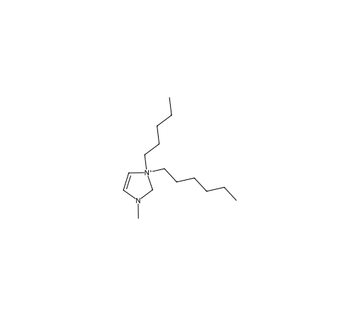 CCCCCC[N+]1(CCCCC)C=CN(C)C1